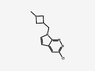 CN1CC(Cn2ccc3cc(Cl)nnc32)C1